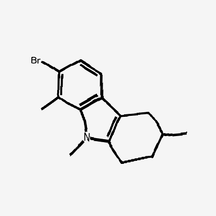 Cc1c(Br)ccc2c3c(n(C)c12)CCC(C)C3